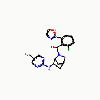 OC(c1c(F)cccc1-c1ncco1)N1CC2CC(Nc3ncc(C(F)(F)F)cn3)C1C2